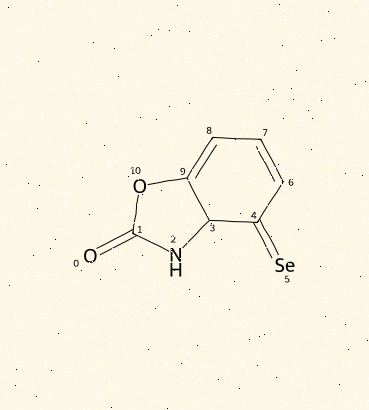 O=C1NC2C(=[Se])C=CC=C2O1